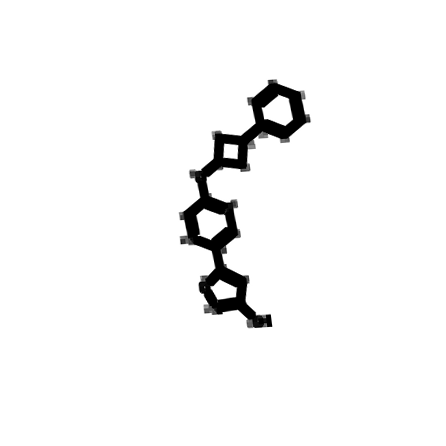 Oc1cc(-c2cnc(OC3CC(c4ccccc4)C3)cn2)on1